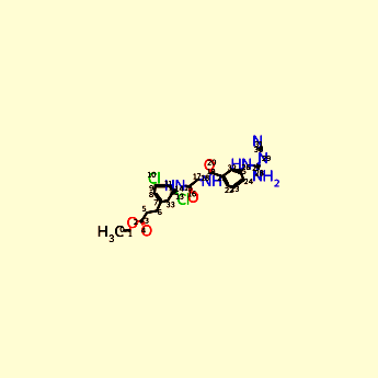 CCOC(=O)CCC1=CC(Cl)=CC(Cl)(NC(=O)CNC(=O)c2cccc(N/C(N)=N\C#N)c2)C1